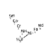 [AlH3].[BH2][Ni].[Co].[Cr].[Fe].[Nd].[Sm]